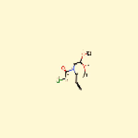 C=CCN(CC(OCC)OCC)C(=O)CCl